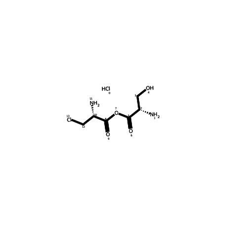 Cl.N[C@@H](CO)C(=O)OC(=O)[C@@H](N)CCl